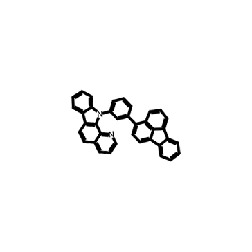 c1cc(-c2ccc3c4c(cccc24)-c2ccccc2-3)cc(-n2c3ccccc3c3ccc4cccnc4c32)c1